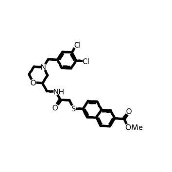 COC(=O)c1ccc2cc(SCC(=O)NCC3CN(Cc4ccc(Cl)c(Cl)c4)CCO3)ccc2c1